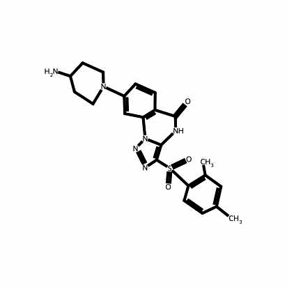 Cc1ccc(S(=O)(=O)c2nnn3c2[nH]c(=O)c2ccc(N4CCC(N)CC4)cc23)c(C)c1